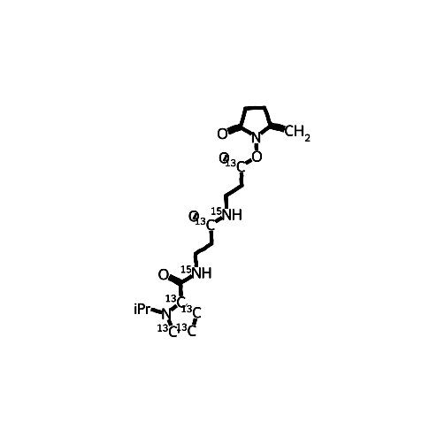 C=C1CCC(=O)N1O[13C](=O)CC[15NH][13C](=O)CC[15NH]C(=O)[13CH]1[13CH2][13CH2][13CH2]N1[13CH](C)C